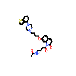 CC(=O)NCCCC(=O)n1c(=O)ccc2ccc(OCCCCN3CCN(c4cccc5sccc45)CC3)cc21